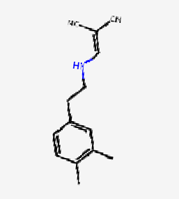 Cc1ccc(CCNC=C(C#N)C#N)cc1C